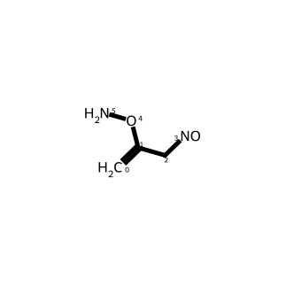 C=C(CN=O)ON